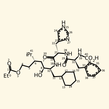 CCC(=O)OCC[C@@H](C[C@H](O)[C@H](CC1CCCCC1)NC(=O)[C@H](Cc1c[nH]cn1)NC(=O)[C@H](Cc1ccccc1)NC(=O)O)C(C)C